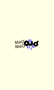 COc1cc2cc(C3(N)CCC(C)C3)cnc2cc1OC